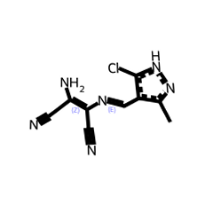 Cc1n[nH]c(Cl)c1/C=N/C(C#N)=C(\N)C#N